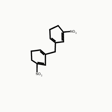 O=[N+]([O-])C1=CC(CC2=CCCC([N+](=O)[O-])=C2)=CCC1